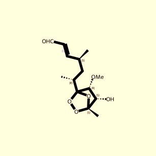 CO[C@@H]1[C@H](O)[C@]2(C)OOC1([C@H](C)C[C@H](C)/C=C/C=O)O2